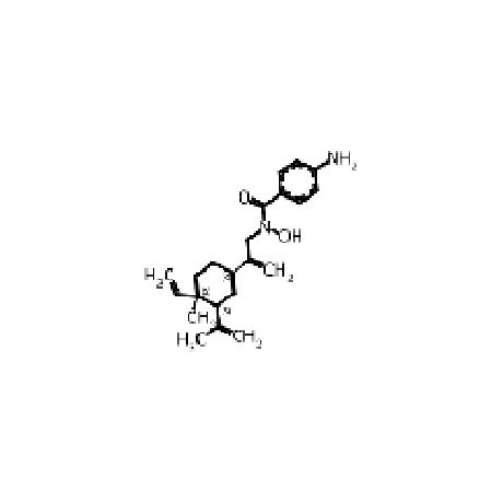 C=C[C@]1(C)CC[C@@H](C(=C)CN(O)C(=O)c2ccc(N)cc2)C[C@H]1C(=C)C